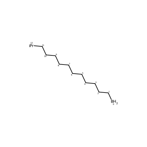 BCCCCCCCCCCCC(C)C